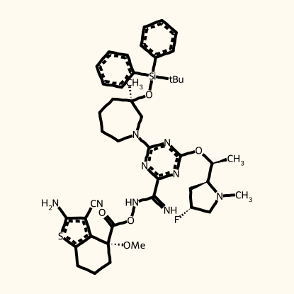 CO[C@]1(C(=O)ONC(=N)c2nc(O[C@@H](C)[C@@H]3C[C@@H](F)CN3C)nc(N3CCCC[C@@](C)(O[Si](c4ccccc4)(c4ccccc4)C(C)(C)C)C3)n2)CCCc2sc(N)c(C#N)c21